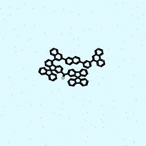 O=C(c1ccc2c(c1)C1(c3ccccc3-c3ccccc31)c1ccccc1-2)c1ccc2c(c1)C1(c3ccccc3-c3ccccc31)c1cccc(-c3cc(-c4ccc5cc(-c6cccc(-c7cc8ccccc8c8ccccc78)c6)ccc5c4)cc4ccccc34)c1-2